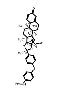 CC(C)Nc1ccc(Sc2ccc([C@]3(C)O[C@@H]4C[C@H]5[C@@H]6CCC7=CC(=O)C=C[C@]7(C)[C@H]6[C@@H](O)C[C@]5(C)[C@]4(C(=O)CO)O3)cc2)cc1